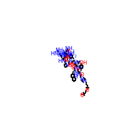 COC(C)(C)CCOC(C)(C)CCCN1CCN(CC(=O)N[C@@H](Cc2ccc(O)cc2)C(=O)N[C@@H](Cc2ccc3ccccc3c2)C(=O)N[C@@H](CC(C)C)C(=O)N[C@@H](Cc2ccccc2)C(=O)N[C@@H](CCCNC(=N)N)C(=O)N2CCC[C@H]2C(=O)N[C@@H](CCCNC(=N)N)C(=O)N[C@@H](CC(N)=O)C(N)=O)CC1